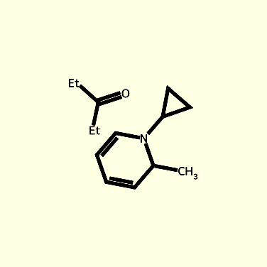 CC1C=CC=CN1C1CC1.CCC(=O)CC